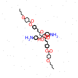 CCCCCOC1CCC(C(=O)Oc2ccc(C=CC(=O)CC(Cc3ccc(N)cc3)(Cc3ccc(N)cc3)C(O)(O)C(=O)C=Cc3ccc(OC(=O)C4CCC(OCCCCC)CC4)cc3)cc2)CC1